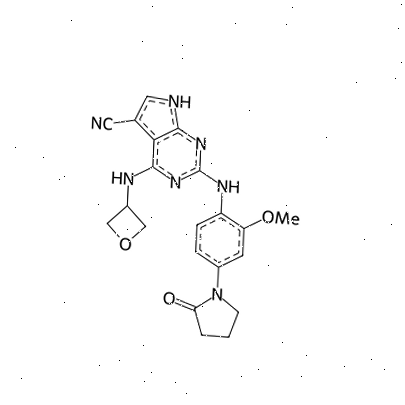 COc1cc(N2CCCC2=O)ccc1Nc1nc(NC2COC2)c2c(C#N)c[nH]c2n1